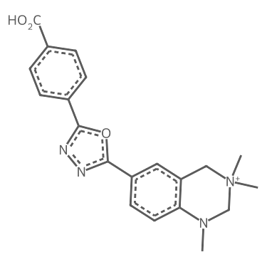 CN1C[N+](C)(C)Cc2cc(-c3nnc(-c4ccc(C(=O)O)cc4)o3)ccc21